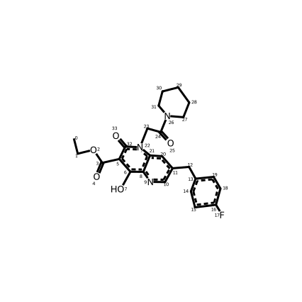 CCOC(=O)c1c(O)c2ncc(Cc3ccc(F)cc3)cc2n(CC(=O)N2CCCCC2)c1=O